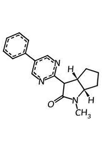 CN1C(=O)C(c2ncc(-c3ccccc3)cn2)[C@@H]2CCC[C@@H]21